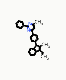 C=CC1=C(C)C(c2ccc(-c3cc(C)nc(-c4ccccc4)n3)cc2)c2ccccc21